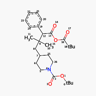 CC(C)(C)OC(=O)N1CCC(CC(C)(C)C(C(=O)OC(=O)C(C)(C)C)c2ccccc2)CC1